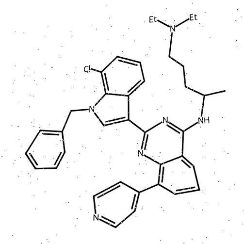 CCN(CC)CCCC(C)Nc1nc(-c2cn(Cc3ccccc3)c3c(Cl)cccc23)nc2c(-c3ccncc3)cccc12